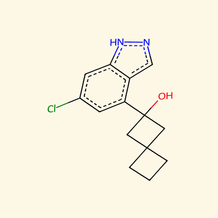 OC1(c2cc(Cl)cc3[nH]ncc23)CC2(CCC2)C1